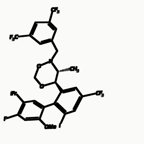 COc1cc(F)c(C(C)C)cc1-c1c(I)cc(C(F)(F)F)cc1[C@H]1OCON(Cc2cc(C(F)(F)F)cc(C(F)(F)F)c2)[C@@H]1C